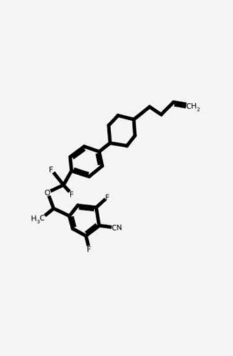 C=CCCC1CCC(c2ccc(C(F)(F)OC(C)c3cc(F)c(C#N)c(F)c3)cc2)CC1